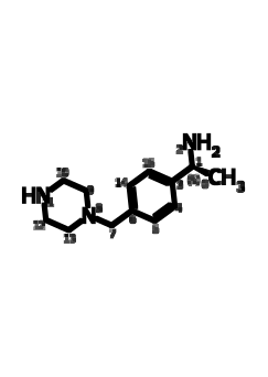 C[C@H](N)c1ccc(CN2CCNCC2)cc1